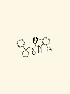 CC(C)c1cccc(C(C)C)c1NC(=O)C(=O)CC1(c2ccccc2)CCCC1